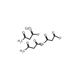 CC(=O)CC(=O)[O-].CC(=O)CC(=O)[O-].CC(=O)CC(=O)[O-].[Gd+3]